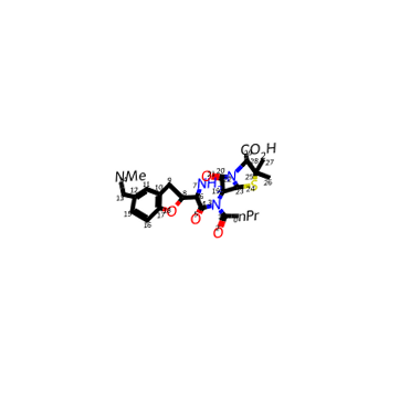 CCCC(=O)N(C(=O)C(N)C1Cc2cc(CNC)ccc2O1)C1C(=O)N2C1SC(C)(C)C2C(=O)O